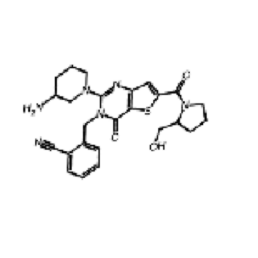 N#Cc1ccccc1Cn1c(N2CCCC(N)C2)nc2cc(C(=O)N3CCCC3CO)sc2c1=O